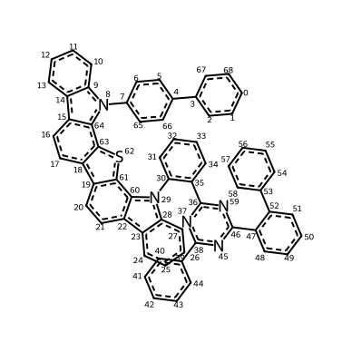 c1ccc(-c2ccc(-n3c4ccccc4c4ccc5c6ccc7c8ccccc8n(-c8ccccc8-c8nc(-c9ccccc9)nc(-c9ccccc9-c9ccccc9)n8)c7c6sc5c43)cc2)cc1